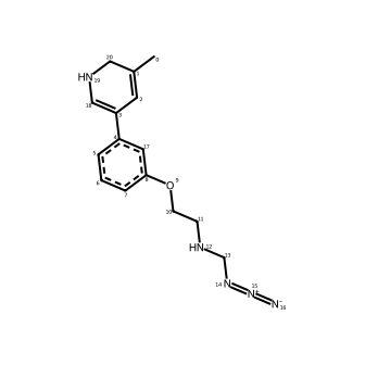 CC1=CC(c2cccc(OCCNCN=[N+]=[N-])c2)=CNC1